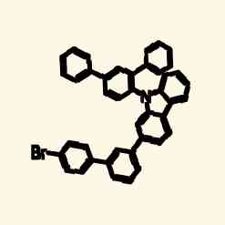 Brc1ccc(-c2cccc(-c3ccc4c5ccccc5n(-c5ccc(-c6ccccc6)cc5-c5ccccc5)c4c3)c2)cc1